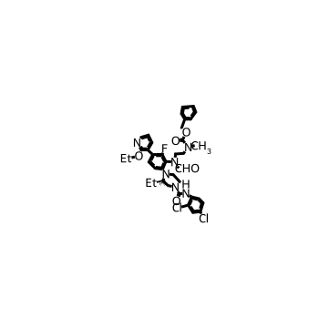 CCOc1ncccc1-c1ccc(N2CCN(C(=O)Nc3ccc(Cl)cc3Cl)C[C@H]2CC)c(N(C=O)CCN(C)C(=O)OCc2ccccc2)c1F